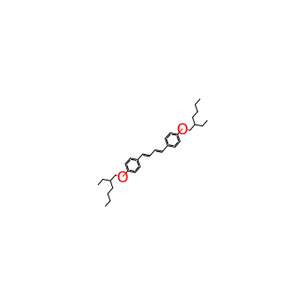 CCCCC(CC)COc1ccc(/C=C/C=C/c2ccc(OCC(CC)CCCC)cc2)cc1